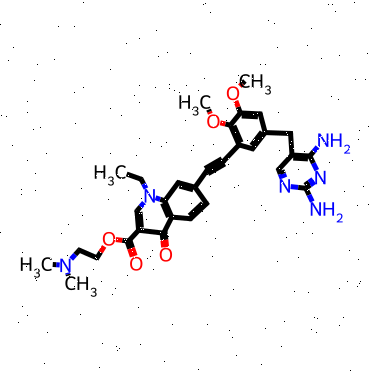 CCn1cc(C(=O)OCCN(C)C)c(=O)c2ccc(C#Cc3cc(Cc4cnc(N)nc4N)cc(OC)c3OC)cc21